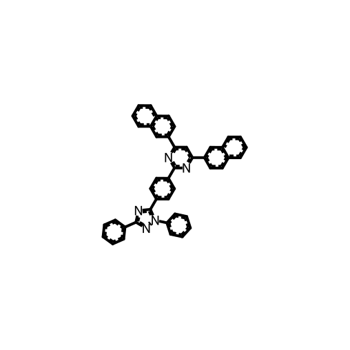 c1ccc(-c2nc(-c3ccc(-c4nc(-c5ccc6ccccc6c5)cc(-c5ccc6ccccc6c5)n4)cc3)n(-c3ccccc3)n2)cc1